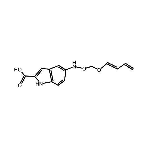 C=C/C=C/OCONc1ccc2[nH]c(C(=O)O)cc2c1